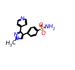 Cn1[c]c(-c2ccc(S(N)(=O)=O)cc2)c(-c2ccncc2)n1